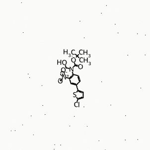 CC(C)(C)OC(=O)N(C(=O)O)c1ccc(-c2ccc(Cl)s2)cc1[N+](=O)[O-]